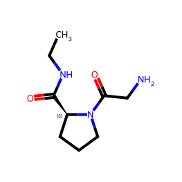 CCNC(=O)[C@@H]1CCCN1C(=O)CN